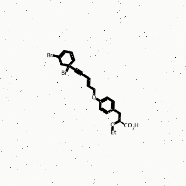 CCO[C@@H](Cc1ccc(OCC=CC#CC2(Br)C=CC=C(Br)C2)cc1)C(=O)O